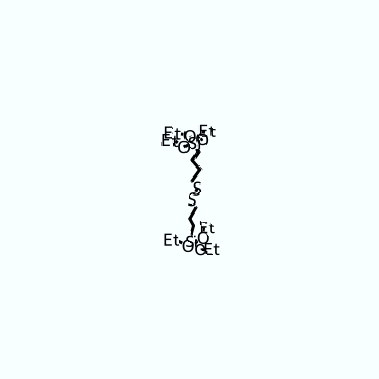 CCO[Si](CCCCSSCCCC[Si](OCC)(OCC)OCC)(OCC)OCC